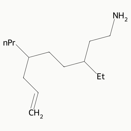 C=CCC(CCC)CCC(CC)CCN